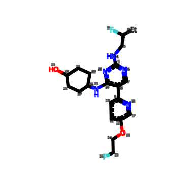 CCC(F)CNc1ncc(-c2ccc(OCCF)cn2)c(NC2CCC(O)CC2)n1